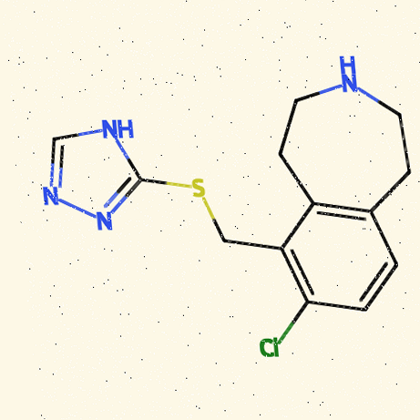 Clc1ccc2c(c1CSc1nnc[nH]1)CCNCC2